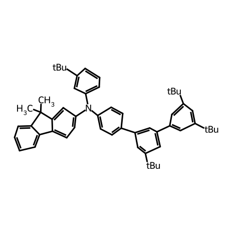 CC(C)(C)c1cc(-c2ccc(N(c3cccc(C(C)(C)C)c3)c3ccc4c(c3)C(C)(C)c3ccccc3-4)cc2)cc(-c2cc(C(C)(C)C)cc(C(C)(C)C)c2)c1